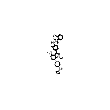 CCn1nc(-c2ccc(NS(=O)(=O)c3ccccc3Cl)c(F)c2)c2c(N)ncc([C@H]3CC[C@H](NC4COC4)CC3)c21